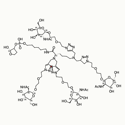 CC(=O)N[C@H]1[C@H](OCCOCCN2CC(CN(CCCC[C@@H](C(=O)NCCCCCCOP(=O)(O)OC3CCO[C@@H]3O)N(Cc3cn(CCOCCO[C@@H]4O[C@H](CO)[C@H](O)[C@H](O)[C@H]4NC(C)=O)nn3)Cc3cn(CCOCCO[C@@H]4O[C@H](CO)[C@H](O)[C@H](O)[C@H]4NC(C)=O)nn3)Cc3cn(CCOCCO[C@@H]4O[C@H](CO)[C@H](O)[C@H](O)[C@H]4NC(C)=O)nn3)N=N2)O[C@H](CO)[C@H](O)[C@@H]1O